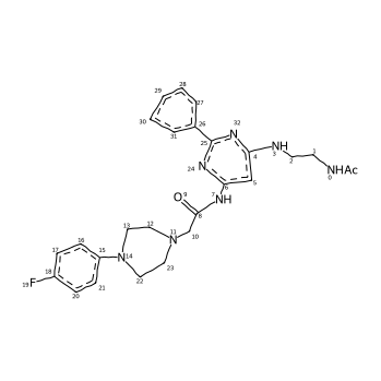 CC(=O)NCCNc1cc(NC(=O)CN2CCN(c3ccc(F)cc3)CC2)nc(-c2ccccc2)n1